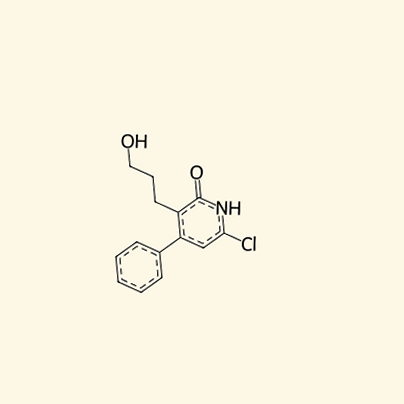 O=c1[nH]c(Cl)cc(-c2ccccc2)c1CCCO